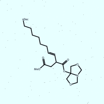 CCCCCCCCCCCCCCCCC=CC(CC(=O)OC)C(=O)OC12COCN1COC2